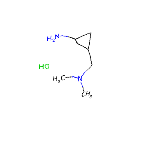 CN(C)CC1CC1N.Cl